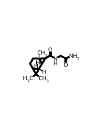 CC1(C)[C@@H]2[C@H]1CC[C@@]1(C)C(C(=O)NCC(N)=O)[C@@H]21